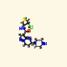 O=C(Nc1cscc1Cl)c1cnn2ccc(N3CCNCC3)nc12